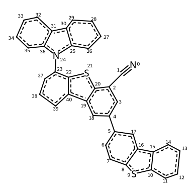 N#Cc1cc(-c2ccc3sc4ccccc4c3c2)cc2c1sc1c(-n3c4ccccc4c4ccccc43)cccc12